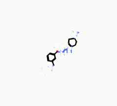 CN(C)C1CCc2nc(NC(=O)c3cccc(CN)c3)sc2C1